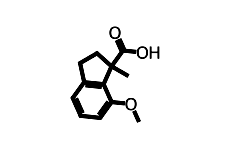 COc1cccc2c1C(C)(C(=O)O)CC2